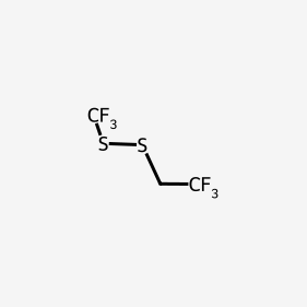 FC(F)(F)CSSC(F)(F)F